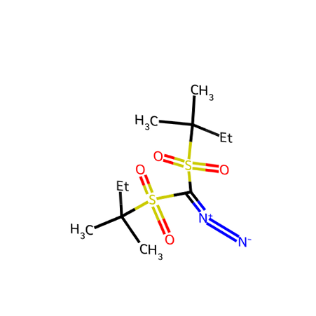 CCC(C)(C)S(=O)(=O)C(=[N+]=[N-])S(=O)(=O)C(C)(C)CC